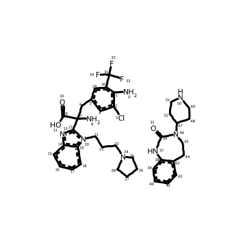 Nc1c(Cl)cc(CC(N)(C(=O)O)c2nc3ccccc3n2CCCN2CCCC2)cc1C(F)(F)F.O=C1Nc2ccccc2CCN1C1CCNCC1